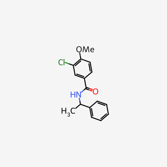 COc1ccc(C(=O)NC(C)c2ccccc2)cc1Cl